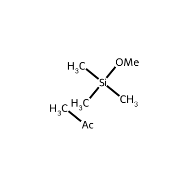 CC(C)=O.CO[Si](C)(C)C